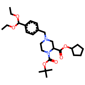 CCOC(OCC)c1ccc(CN2CCN(C(=O)OC(C)(C)C)C(C(=O)OC3CCCC3)C2)cc1